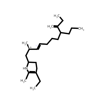 C=C(CC)C(CCC)CCC/C=C/[C@H](C)CC1CCC(CC)=C(C)N1